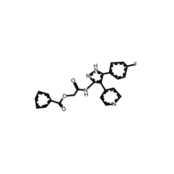 O=C(COC(=O)c1ccccc1)Nc1n[nH]c(-c2ccc(F)cc2)c1-c1ccncc1